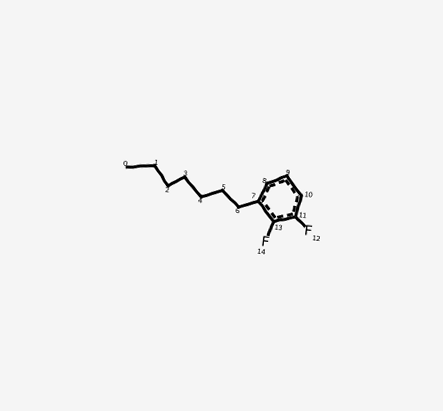 CCCCCCCc1cccc(F)c1F